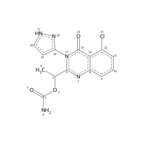 CC(OC(N)=O)c1nc2cccc(Cl)c2c(=O)n1-c1cc[nH]n1